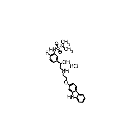 CN(C)S(=O)(=O)Nc1cc(C(O)CNCCOc2ccc3c(c2)[nH]c2ccccc23)ccc1F.Cl